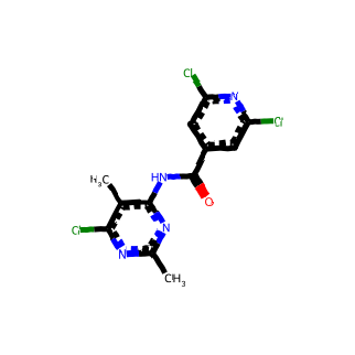 Cc1nc(Cl)c(C)c(NC(=O)c2cc(Cl)nc(Cl)c2)n1